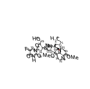 C=CC1CN2CCC1CC2C(OC)(c1cn(C2CC(n3cc(F)c(=O)[nH]c3=O)OC2CO)nn1)c1ccnc2c(OC)cccc12